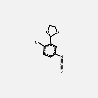 S=C=Nc1ccc(Cl)c(C2OCCO2)c1